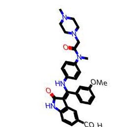 COc1cccc(/C(Nc2ccc(N(C)C(=O)CN3CCN(C)CC3)cc2)=C2/C(=O)Nc3ccc(C(=O)O)cc32)c1